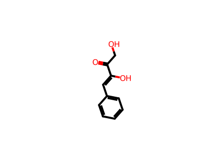 O=C(CO)C(O)=Cc1ccccc1